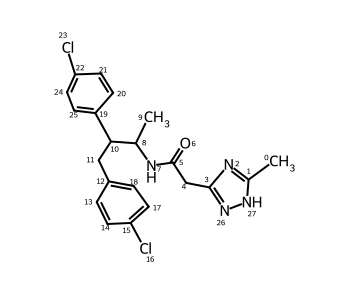 Cc1nc(CC(=O)NC(C)C(Cc2ccc(Cl)cc2)c2ccc(Cl)cc2)n[nH]1